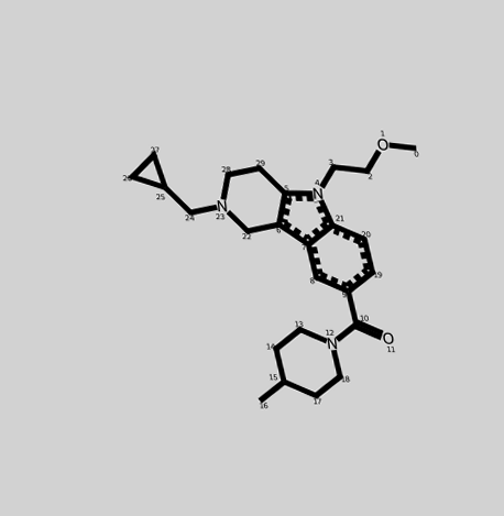 COCCn1c2c(c3cc(C(=O)N4CCC(C)CC4)ccc31)CN(CC1CC1)CC2